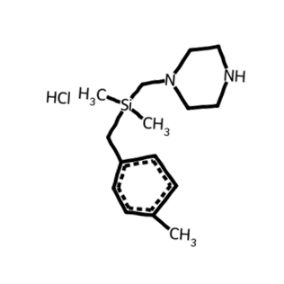 Cc1ccc(C[Si](C)(C)CN2CCNCC2)cc1.Cl